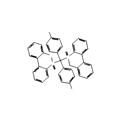 O=P1(C(c2ccc(O)cc2)(c2ccc(O)cc2)P2(=O)Oc3ccccc3-c3ccccc32)Cc2ccccc2-c2ccccc21